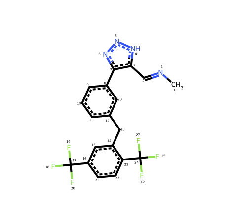 C/N=C/c1[nH]nnc1-c1cccc(Cc2cc(C(F)(F)F)ccc2C(F)(F)F)c1